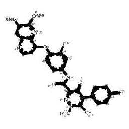 COc1cc2nccc(Oc3ccc(NC(=O)c4nn(C)c(C)c(-c5ccc(F)cc5)c4=O)cc3F)c2nc1OC